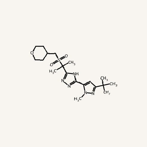 Cn1nc(C(C)(C)C)cc1-c1nnc(C(C)(C)S(=O)(=O)CC2CCOCC2)[nH]1